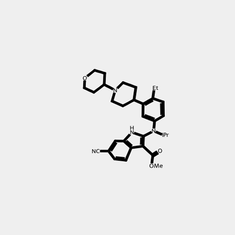 CCc1ccc(N(c2[nH]c3cc(C#N)ccc3c2C(=O)OC)C(C)C)cc1C1CCN(C2CCOCC2)CC1